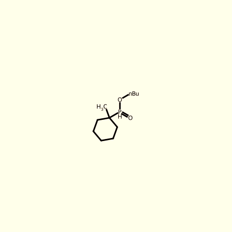 CCCCO[PH](=O)C1(C)CCCCC1